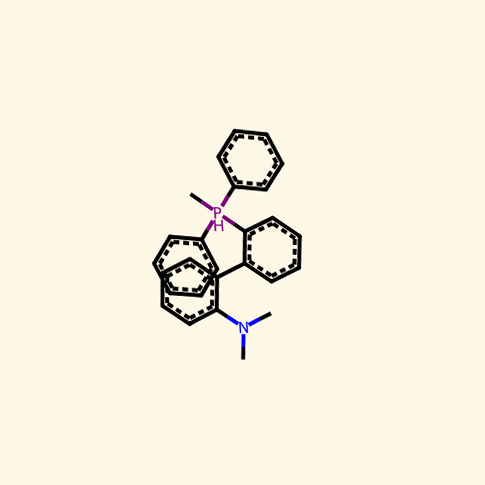 CN(C)c1ccccc1-c1ccccc1[PH](C)(c1ccccc1)c1ccccc1